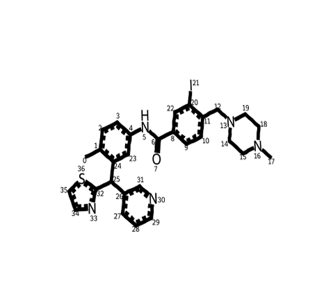 Cc1ccc(NC(=O)c2ccc(CN3CCN(C)CC3)c(I)c2)cc1C(c1cccnc1)c1nccs1